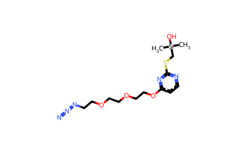 C[Si](C)(O)CSc1nccc(OCCOCCOCCN=[N+]=[N-])n1